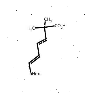 CCCCCCC=CC=CC(C)(C)C(=O)O